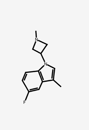 Cc1cn(C2CN(C)C2)c2ccc(F)cc12